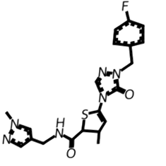 CC1C=C(n2cnn(Cc3ccc(F)cc3)c2=O)SC1C(=O)NCc1cnn(C)c1